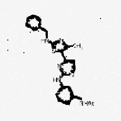 CC(=O)NCc1cccc(Nc2nccc(-c3sc(NCc4ccccc4)nc3C)n2)c1